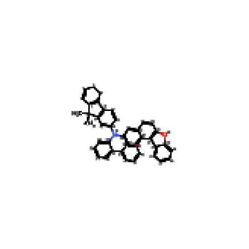 CC1(C)C2=C(CCC=C2)c2ccc(N(c3ccc4c(ccc5oc6ccccc6c54)c3)c3ccccc3-c3ccccc3)cc21